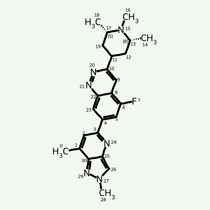 Cc1cc(-c2cc(F)c3cc(C4C[C@@H](C)N(C)[C@@H](C)C4)nnc3c2)nc2cn(C)nc12